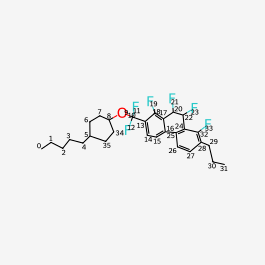 CCCCCC1CCC(OC(F)(F)c2ccc3c(c2F)C(F)C(F)c2c-3ccc(CCC)c2F)CC1